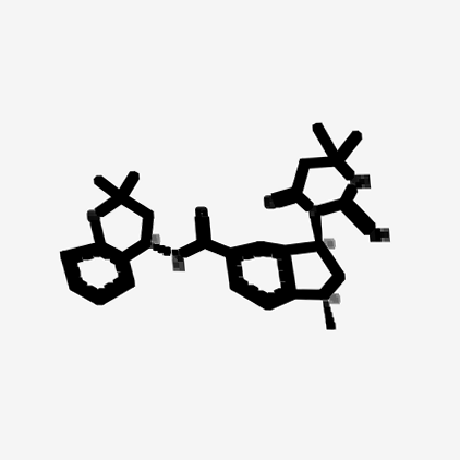 C[C@H]1C[C@H](N2C(=N)NC(C)(C)CC2=O)c2cc(C(=O)N[C@H]3CC(C)(C)Oc4ccccc43)ccc21